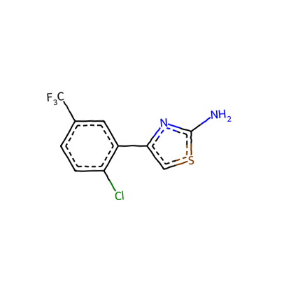 Nc1nc(-c2cc(C(F)(F)F)ccc2Cl)cs1